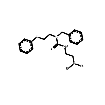 CCN(CC)CCNC(=O)N(CCOc1ccccc1)Cc1ccccc1